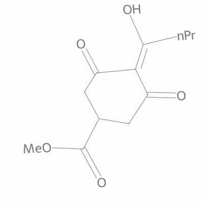 CCCC(O)=C1C(=O)CC(C(=O)OC)CC1=O